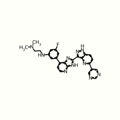 CN(C)CCNc1cc(F)cc(-c2ccnc3[nH]c(-c4n[nH]c5ccc(-c6cncnc6)nc45)nc23)c1